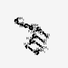 CCN(CC)CCCCN(Cc1cc(CNC(=O)C(F)(F)F)ccn1)C(=O)C(F)(F)F.CCN(CC)CCCCNCc1cc(CN)ccn1.CN(C)CCCCCNCc1cc(CN)ccn1.COc1ccccc1CN1CCC(NC(=O)CNCc2cc(CN)ccn2)CC1.NCc1ccnc(CNCCCCN2CCC2)c1